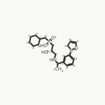 CC(NC[C@H](O)CP(=O)(O)CC1CCCCC1)c1cccc(N2CC=CO2)c1